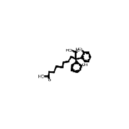 O=C(O)CCCCCCCC(C(=O)O)(c1ccccc1O)c1ccccc1O